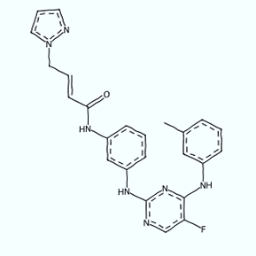 Cc1cccc(Nc2nc(Nc3cccc(NC(=O)/C=C/Cn4cccn4)c3)ncc2F)c1